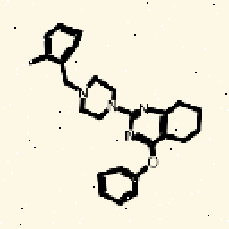 Cc1ccccc1CN1CCN(c2nc3c(c(Oc4ccccc4)n2)CCCC3)CC1